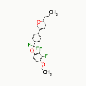 CCCC1CC=C(c2ccc(C(F)(F)Oc3ccc(OCC)c(F)c3F)cc2)CO1